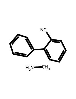 CN.N#Cc1ccccc1-c1ccccc1